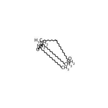 CCCCCCCC/C=C\CCCCCCCCCCCC(N)=O.CCCCCCCCCCCCCCCCCC(N)=O.CCCCCCCCCCCCCCCCCC(N)=O